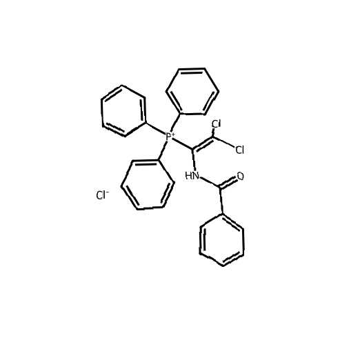 O=C(NC(=C(Cl)Cl)[P+](c1ccccc1)(c1ccccc1)c1ccccc1)c1ccccc1.[Cl-]